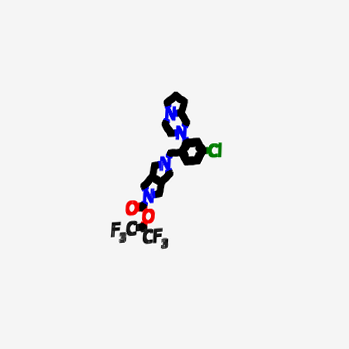 O=C(OC(C(F)(F)F)C(F)(F)F)N1CC2CN(Cc3ccc(Cl)cc3N3CCN4CCCC4C3)CC2C1